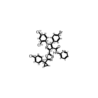 O=C(Nc1ccccn1)c1c(-c2nnc(C3(c4ccc(Cl)cc4)CC3)o2)nn(-c2ccc(Cl)cc2Cl)c1-c1ccc(Br)cc1